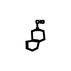 O=CN1CCC2=C(C=CCC2)C1